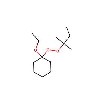 CCOC1(OOC(C)(C)CC)CCCCC1